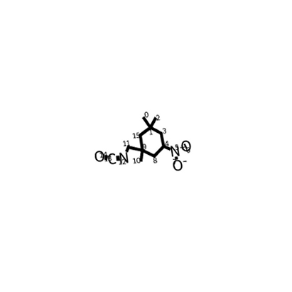 CC1(C)CC([N+](=O)[O-])CC(C)(CN=C=O)C1